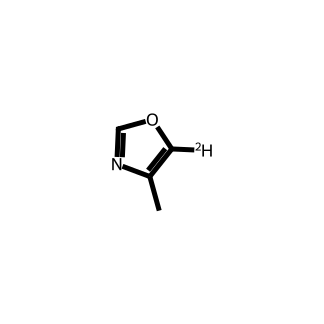 [2H]c1ocnc1C